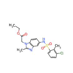 CCOC(=O)Cn1c(C)nc2cc(NS(=O)(=O)c3cccc(Cl)c3C)ccc21